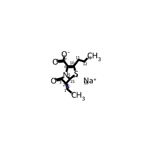 C/C=C1/C(=O)N2C(C(=O)[O-])=C(CCC)SC12.[Na+]